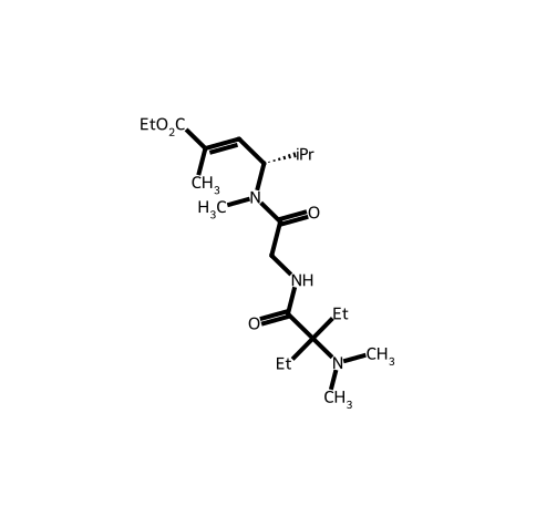 CCOC(=O)/C(C)=C/[C@H](C(C)C)N(C)C(=O)CNC(=O)C(CC)(CC)N(C)C